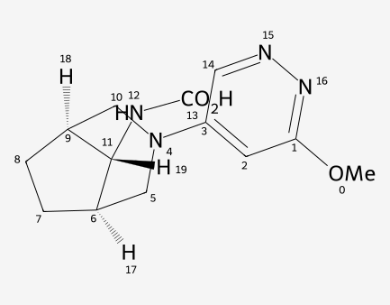 COc1cc(N2C[C@H]3CC[C@@H](C2)[C@@H]3NC(=O)O)cnn1